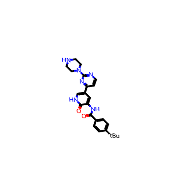 CC(C)(C)c1ccc(C(=O)Nc2cc(-c3ccnc(N4CCNCC4)n3)c[nH]c2=O)cc1